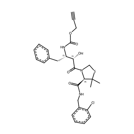 C#CCOC(=O)N[C@@H](Cc1ccccc1)[C@H](O)C(=O)N1CSC(C)(C)[C@H]1C(=O)NCc1ccccc1Cl